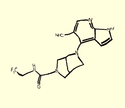 N#Cc1cnc2[nH]ccc2c1N1CC2CN(C(=O)NCC(F)(F)F)CC21